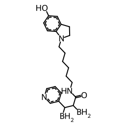 BC(C(=O)NCCCCCCN1CCc2cc(O)ccc21)C(B)c1cccnc1